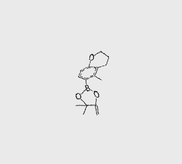 C=C1OB(c2ccc3c(c2C)CCCO3)OC1(C)C